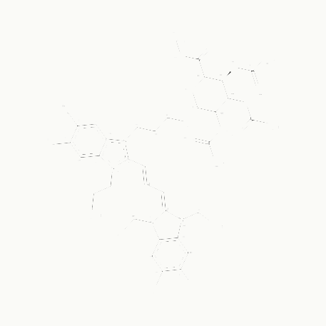 CCC[n+]1c(C=CC=C2N(CC)c3cc(Cl)c(Cl)cc3N2CC)n(CCCO[C@@H]2OC(C(=O)OC)[C@@H](OC(C)=O)C(OC(C)=O)C2OC(C)=O)c2cc(Cl)c(Cl)cc21